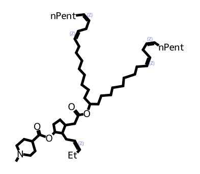 CC/C=C\CC1C(CC(=O)OC(CCCCCCCC/C=C\C/C=C\CCCCC)CCCCCCCC/C=C\C/C=C\CCCCC)CCC1OC(=O)C1CCN(C)CC1